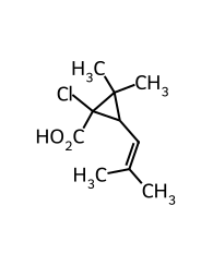 CC(C)=CC1C(C)(C)C1(Cl)C(=O)O